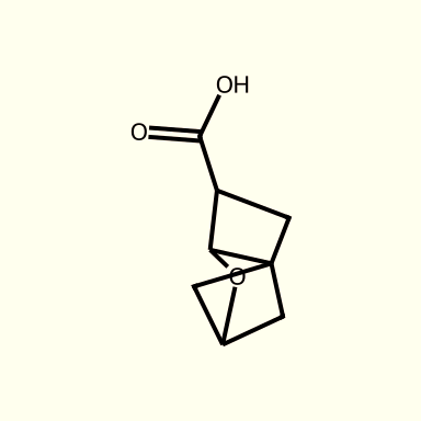 O=C(O)C1CC23CC(C2)OC13